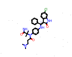 CN(C)CCC(=O)N(c1ccc(N/C(=C2\C(=O)Nc3cc(Cl)ccc32)c2ccccc2)cc1)C(C)(C)C(N)=O